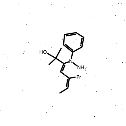 C/C=C(\C=C(/N(N)c1ccccc1)C(C)(C)O)C(C)C